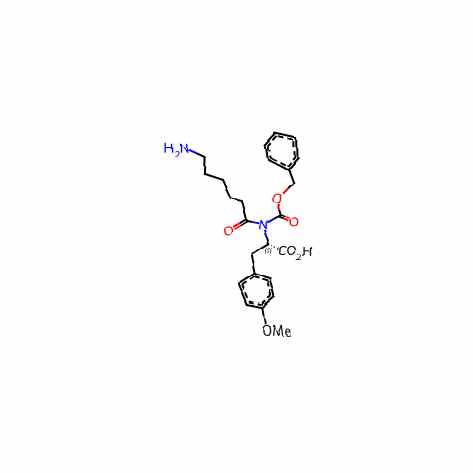 COc1ccc(C[C@@H](C(=O)O)N(C(=O)CCCCCN)C(=O)OCc2ccccc2)cc1